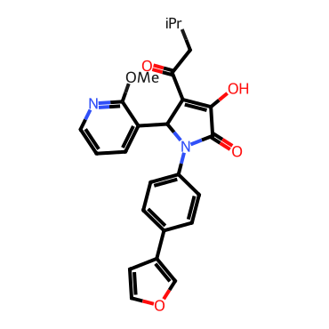 COc1ncccc1C1C(C(=O)CC(C)C)=C(O)C(=O)N1c1ccc(-c2ccoc2)cc1